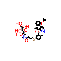 Cc1ccc(SCCCC(=O)N(C)C[C@H](O)[C@@H](O)[C@H](O)[C@H](O)CO)cc1COC1(c2cnccc2-c2ccccc2OC2CC2)CC1